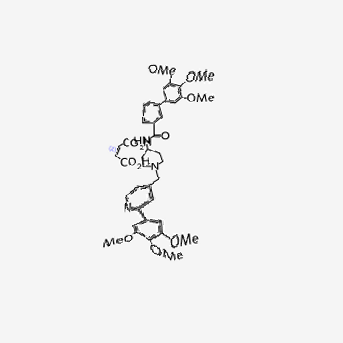 COc1cc(-c2cccc(C(=O)NC3CCN(Cc4ccnc(-c5cc(OC)c(OC)c(OC)c5)c4)CC3)c2)cc(OC)c1OC.O=C(O)/C=C\C(=O)O